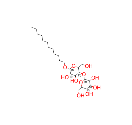 CCCCCCCCCCCCO[C@@H]1OC(CO)[C@@H](O[C@H]2OC(CO)[C@@H](O)[C@H](O)C2O)C(O)[C@@H]1O